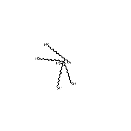 S[CH]C(CCCCCCCCCCCCS)C(CCCCCCCCCCCCS)(CCCCCCCCCCCCS)[C](S)CCCCCCCCCCCCS